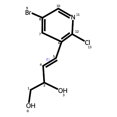 OCC(O)/C=C/c1cc(Br)cnc1Cl